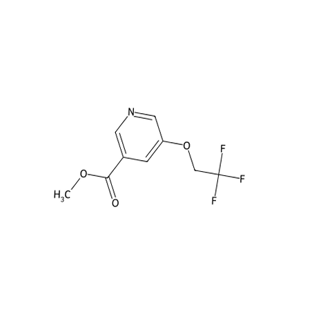 COC(=O)c1cncc(OCC(F)(F)F)c1